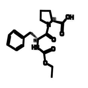 CCOC(=O)N[C@H](Cc1ccccc1)C(=O)N1CCC[C@H]1C(=O)O